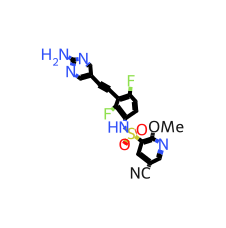 COc1ncc(C#N)cc1S(=O)(=O)Nc1ccc(F)c(C#Cc2cnc(N)nc2)c1F